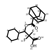 O=C(OC(C1CCCCC1)C(F)(F)C(=O)O)C12CC3CC(CC(C3)C1)C2